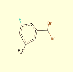 Fc1cc(C(Br)Br)cc(C(F)(F)F)c1